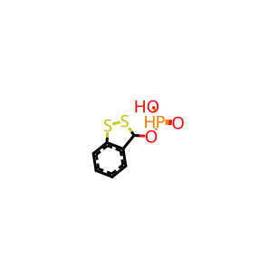 O=[PH](O)OC1SSc2ccccc21